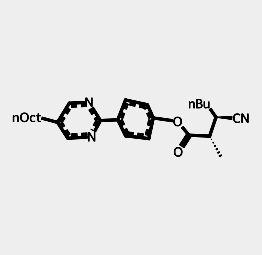 CCCCCCCCc1cnc(-c2ccc(OC(=O)[C@@H](C)[C@H](C#N)CCCC)cc2)nc1